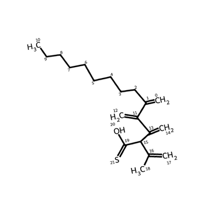 C=C(CCCCCCCCC)C(=C)C(=C)C(C(=C)C)C(O)=S